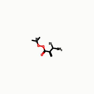 C=C(C(=O)OO[SiH](C)C)C([SiH3])CC